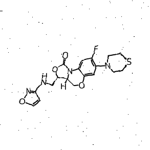 O=C1O[C@H](CNc2ccon2)[C@H]2COc3cc(N4CCSCC4)c(F)cc3N12